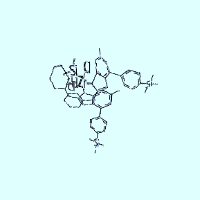 Cc1cc(-c2ccc([Si](C)(C)C)cc2)c2c(c1)[CH]([Zr]([Cl])([Cl])([CH]1C(CC3CCCCC3)=Cc3c(-c4ccc([Si](C)(C)C)cc4)cc(C)cc31)[SiH](C)C)C(CC1CCCCC1)=C2